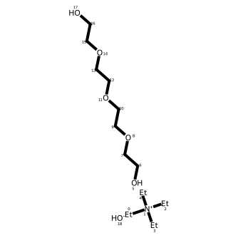 CC[N+](CC)(CC)CC.OCCOCCOCCOCCO.[OH-]